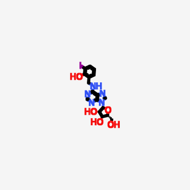 OC[C@H]1O[C@@H](n2cnc3c(NCc4cccc(I)c4O)ncnc32)[C@@H](O)[C@@H]1O